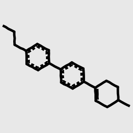 CCCc1ccc(-c2ccc(C3=CCC(C)CC3)cc2)cc1